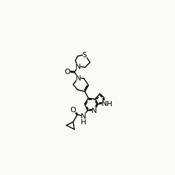 O=C(Nc1cc(C2=CCN(C(=O)N3CCSCC3)CC2)c2cc[nH]c2n1)C1CC1